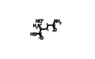 Cl.NC(=O)CC[C@H](N)C(=O)O